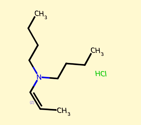 C/C=C\N(CCCC)CCCC.Cl